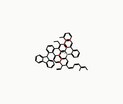 C=CC1CC2=C(C=C1\C=C/C=C\C(C)=C\C)N(c1ccccc1-c1ccccc1)c1cc(-c3ccccc3C)c(CC)c(-c3cccc(C4c5ccccc5-c5ccccc54)c3-c3ccccc3N)c1S2